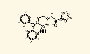 O=C(NC1CCC(Oc2ccccc2)C(Nc2ccccc2)C1)c1nnco1